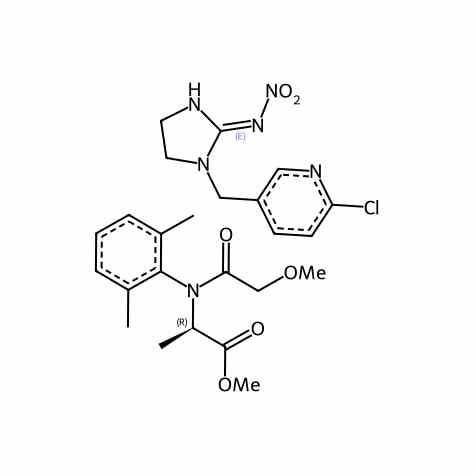 COCC(=O)N(c1c(C)cccc1C)[C@H](C)C(=O)OC.O=[N+]([O-])/N=C1\NCCN1Cc1ccc(Cl)nc1